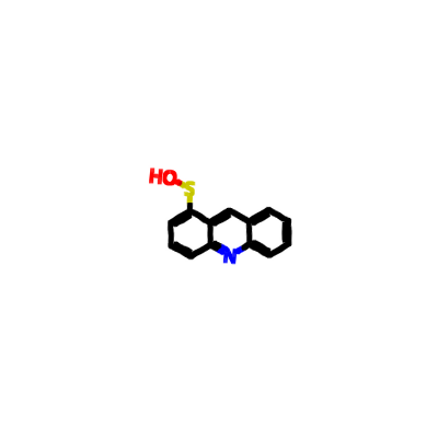 OSc1cccc2nc3ccccc3cc12